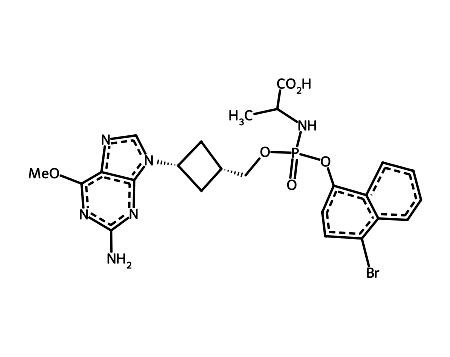 COc1nc(N)nc2c1ncn2[C@H]1C[C@@H](COP(=O)(NC(C)C(=O)O)Oc2ccc(Br)c3ccccc23)C1